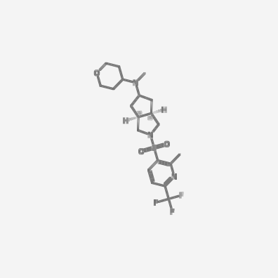 Cc1nc(C(F)(F)F)ccc1S(=O)(=O)N1C[C@H]2CC(N(C)C3CCOCC3)C[C@H]2C1